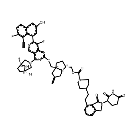 C#Cc1c(F)ccc2cc(O)cc(-c3ncc4c(N5C[C@H]6CC[C@@H](C5)N6)nc(OC[C@@]56CC[C@@H](COC(=O)N7CCC(CCc8cccc9c8C(=O)N(C8CCC(=O)NC8=O)C9)CC7)N5CC(=C)C6)nc4c3F)c12